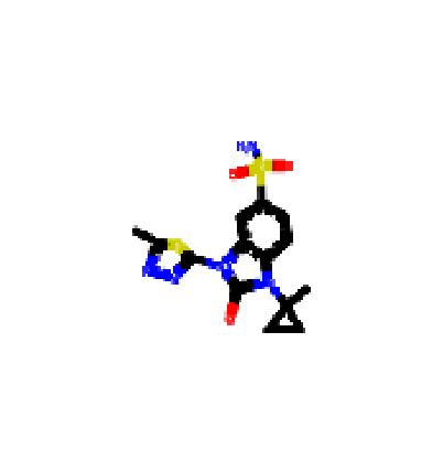 Cc1nnc(-n2c(=O)n(C3(C)CC3)c3ccc(S(N)(=O)=O)cc32)s1